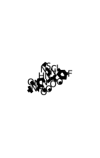 COC(=O)C1=C(CN2CCN3C(=O)N(C(C)(C)C)C[C@@H]3[C@H]2C(=O)OC)NC(c2nccs2)=N[C@H]1c1ccc(F)cc1Cl